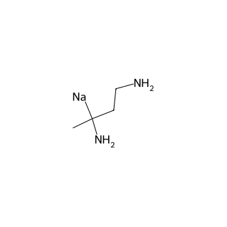 C[C](N)([Na])CCN